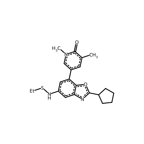 CCSNc1cc(-c2cc(C)c(=O)n(C)c2)c2oc(C3CCCC3)nc2c1